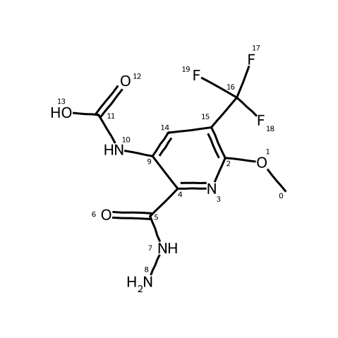 COc1nc(C(=O)NN)c(NC(=O)O)cc1C(F)(F)F